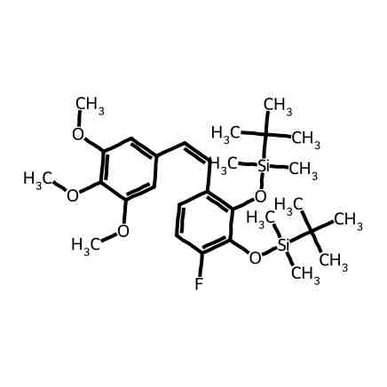 COc1cc(/C=C\c2ccc(F)c(O[Si](C)(C)C(C)(C)C)c2O[Si](C)(C)C(C)(C)C)cc(OC)c1OC